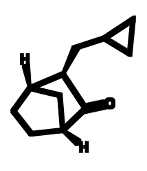 O=C1[C@@H]2CC[C@@H](C2)[C@H]1CC1CC1